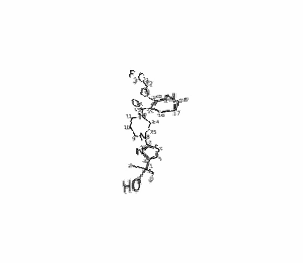 CC(C)(O)c1csc(N2CCCN(C(=O)c3cccnc3OCC(F)(F)F)CC2)n1